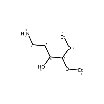 CCOC(OCC)C(O)CCN